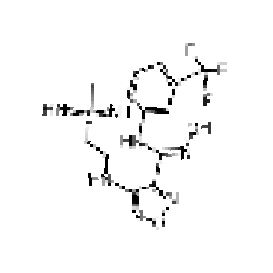 CS(=N)(=N)CCNc1nonc1/C(=N/O)Nc1cccc(C(F)(F)F)c1